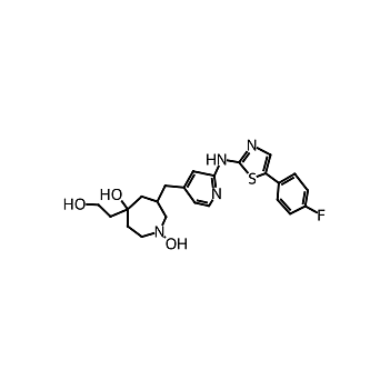 OCCC1(O)CCN(O)CC(Cc2ccnc(Nc3ncc(-c4ccc(F)cc4)s3)c2)C1